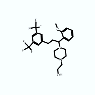 COc1ccccc1C([CH]Cc1cc(C(F)(F)F)cc(C(F)(F)F)c1)N1CCN(CCO)CC1